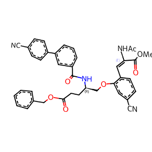 COC(=O)/C(=C\c1ccc(C#N)cc1OC[C@@H](CCC(=O)OCc1ccccc1)NC(=O)c1cccc(-c2ccc(C#N)cc2)c1)NC(C)=O